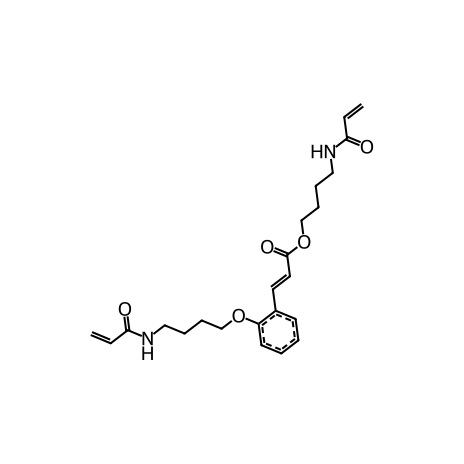 C=CC(=O)NCCCCOC(=O)C=Cc1ccccc1OCCCCNC(=O)C=C